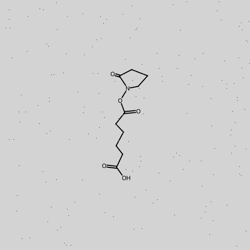 O=C(O)CCCCC(=O)ON1CCCC1=O